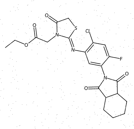 CCOC(=O)CN1C(=O)CSC1=Nc1cc(N2C(=O)C3CCCCC3C2=O)c(F)cc1Cl